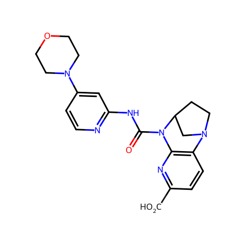 O=C(O)c1ccc2c(n1)N(C(=O)Nc1cc(N3CCOCC3)ccn1)C1CCN2C1